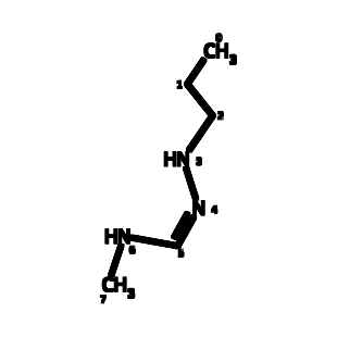 CCCN/N=C\NC